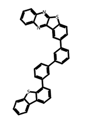 c1cc(-c2cccc(-c3cccc4c3sc3ccccc34)c2)cc(-c2ccc3sc4nc5ccccc5nc4c3c2)c1